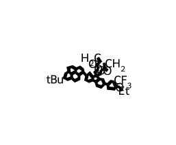 C=CC(=O)OCC1(COC(=O)C=C)c2cc(-c3ccc(OCC)c(C(F)(F)F)c3)ccc2-c2ccc(-c3ccc4ccc5cc(C(C)(C)C)cc6ccc3c4c56)cc21